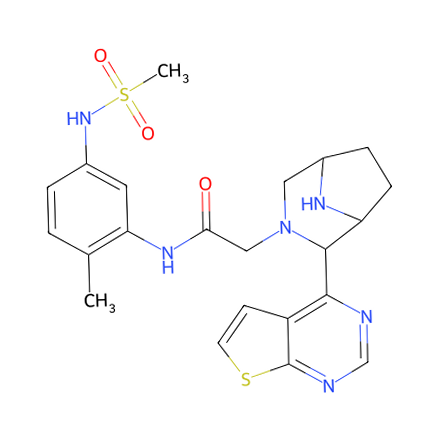 Cc1ccc(NS(C)(=O)=O)cc1NC(=O)CN1CC2CCC(N2)C1c1ncnc2sccc12